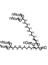 CCCCCCCCCCOC(C=CCCCCCCCCCC(OCCCCCCCCC)OCCCCCCCCC)OC(C=CCCCCCCCCCC(OCCCCCCCCC)OCCCCCCCCC)OCCCCCCCCCC